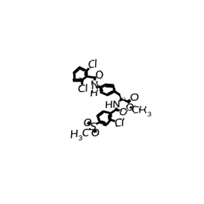 COC(=O)[C@H](Cc1ccc(NC(=O)c2c(Cl)cccc2Cl)cc1)NC(=O)c1ccc(S(C)(=O)=O)cc1Cl